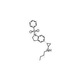 CCCCN[C@@H]1C[C@H]1c1ccc2c(c1)CCN2S(=O)(=O)c1ccccc1